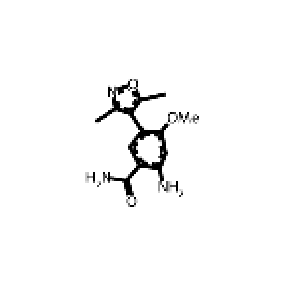 COc1cc(N)c(C(N)=O)cc1-c1c(C)noc1C